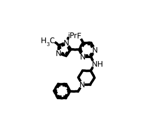 Cc1ncc(-c2nc(NC3CCN(Cc4ccccc4)CC3)ncc2F)n1C(C)C